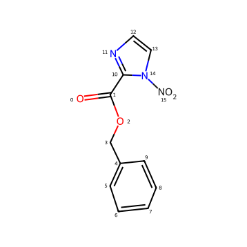 O=C(OCc1ccccc1)c1nccn1[N+](=O)[O-]